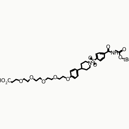 CC(C)(C)OC(=O)CNC(=O)c1ccc(S(=O)(=O)N2CCC(c3ccc(OCCOCCOCCOCCOCCC(=O)O)cc3)CC2)cc1